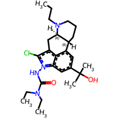 CCCN1CCC[C@@H]2c3cc(C(C)(C)O)cc4c3c(c(Cl)n4NC(=O)N(CC)CC)C[C@H]21